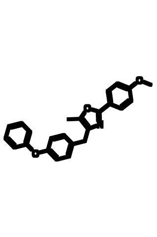 COc1ccc(-c2nc(Cc3ccc(Oc4ccccc4)cc3)c(C)o2)cc1